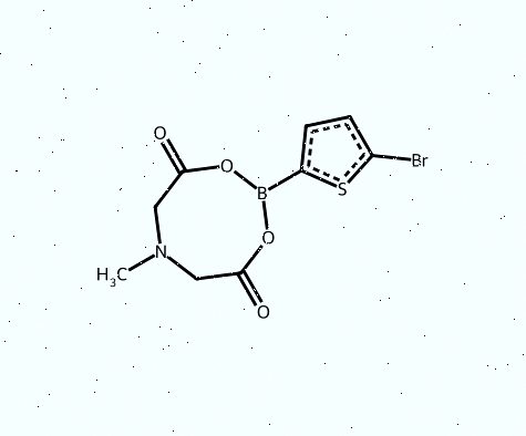 CN1CC(=O)OB(c2ccc(Br)s2)OC(=O)C1